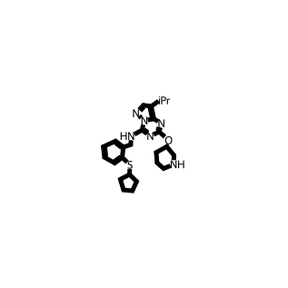 CC(C)c1cnn2c(NCc3ccccc3SC3CCCC3)nc(O[C@@H]3CCCNC3)nc12